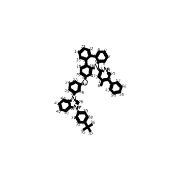 Cc1cc(N2c3ccccc3-c3ccccc3-c3ccc(Oc4cccc(-n5c[n+](-c6ccc(C(C)(C)C)cc6)c6ccccc65)c4)cc32)ncc1-c1ccccc1